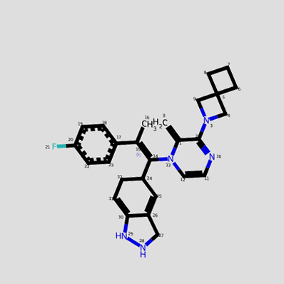 C=C1C(N2CC3(CCC3)C2)=NC=CN1/C(=C(\C)c1ccc(F)cc1)C1C=C2CNNC2=CC1